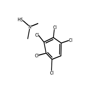 CN(C)S.Clc1cc(Cl)c(Cl)c(Cl)c1Cl